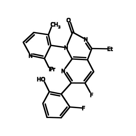 CCc1nc(=O)n(-c2c(C)ccnc2C(C)C)c2nc(-c3c(O)cccc3F)c(F)cc12